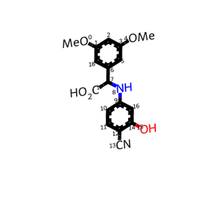 COc1cc(OC)cc(C(Nc2ccc(C#N)c(O)c2)C(=O)O)c1